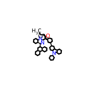 C\C=C/C=c1/oc2ccc(-c3ccc4c(c3)c3ccccc3n4-c3ccccc3)cc2/c1=C1\N=C(c2cc3ccccc3c3ccccc23)c2ccccc2N1C